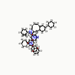 C\C(Nc1cccc(-c2ccccc2)c1)=C1B2c3ccc(-c4ccccc4)cc3\C=C/C=C\1N(c1ccccc1)c1cc(N(C3=CC=CCC3)c3ccccc3)ccc12